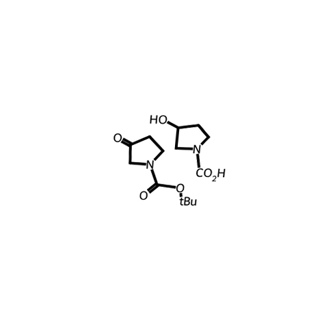 CC(C)(C)OC(=O)N1CCC(=O)C1.O=C(O)N1CCC(O)C1